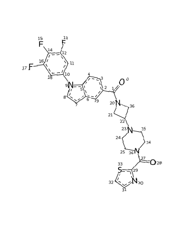 O=C(c1ccc2c(ccn2-c2cc(F)c(F)c(F)c2)c1)N1CC(N2CCN(C(=O)c3nccs3)CC2)C1